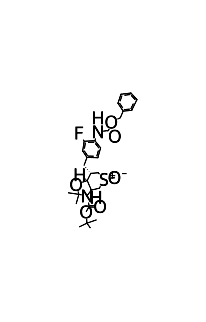 CC(C)(C)OC(=O)N1[C@H]2C[S@+]([O-])C[C@@H](Cc3ccc(NC(=O)OCc4ccccc4)c(F)c3)[C@@H]2OC1(C)C